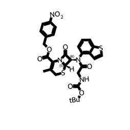 CC1=C(C(=O)OCc2ccc([N+](=O)[O-])cc2)N2C(=O)[C@@H](N(C(=O)CNC(=O)OC(C)(C)C)c3cccc4sccc34)[C@@H]2SC1